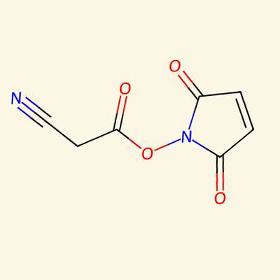 N#CCC(=O)ON1C(=O)C=CC1=O